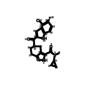 CN(C(=O)c1[nH]nc2c1CN(C(=O)c1cc3c(Cl)c(F)ccc3[nH]1)CC2)C1CC1